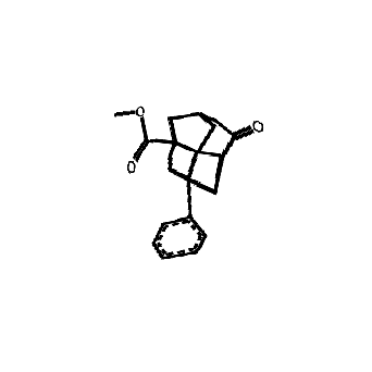 COC(=O)C12CC3CC14C(CC4(c1ccccc1)C2)C3=O